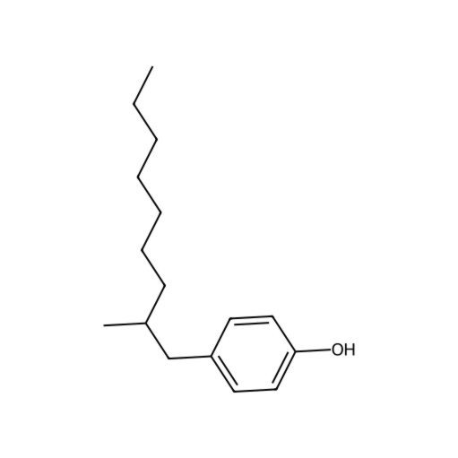 CCCCCCCC(C)Cc1ccc(O)cc1